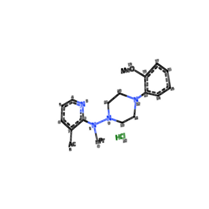 CCCN(c1ncccc1C(C)=O)N1CCN(c2ccccc2OC)CC1.Cl